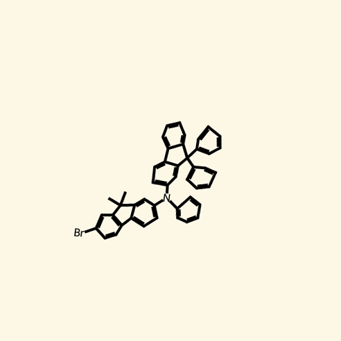 CC1(C)c2cc(Br)ccc2-c2ccc(N(c3ccccc3)c3ccc4c(c3)C(c3ccccc3)(c3ccccc3)c3ccccc3-4)cc21